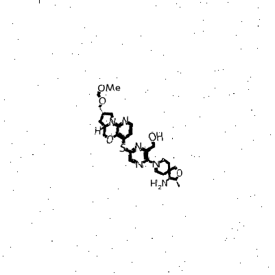 COCOC[C@H]1C[C@H]2COc3c(Sc4cnc(N5CCC6(CC5)CO[C@@H](C)[C@H]6N)c(CO)n4)ccnc3N2C1